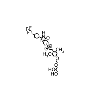 Cc1cc(OCCOCC(O)CO)cc(C)c1C=CS(=O)(=O)N1CCC2(CC1)N=C(C1CCC(CCC(F)(F)F)CC1)NC2=O